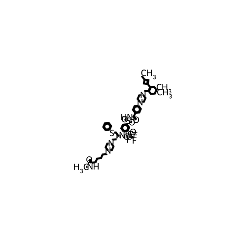 CCC1C=C(C2=C(CN3CCN(c4ccc(C(=O)NS(=O)(=O)c5ccc(N[C@H](CCN6CCN(CCCCCC(=O)NC)CC6)CSc6ccccc6)c(S(=O)(=O)C(F)(F)F)c5)cc4)CC3)CCC(C)(C)C2)C1